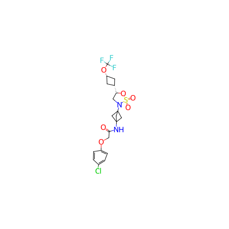 O=C(COc1ccc(Cl)cc1)NC12CC(N3CC([C@H]4C[C@@H](OC(F)(F)F)C4)OS3(=O)=O)(C1)C2